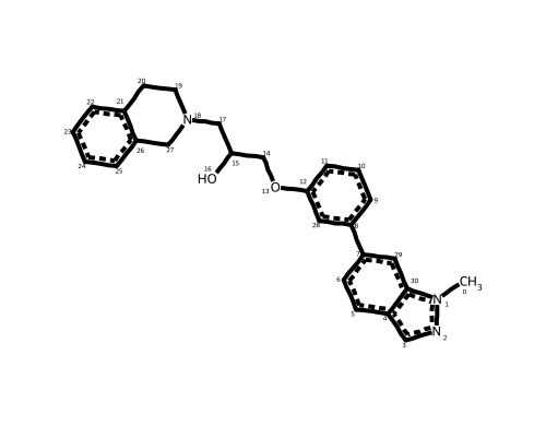 Cn1ncc2ccc(-c3cccc(OCC(O)CN4CCc5ccccc5C4)c3)cc21